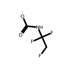 [O]C(=O)NC(F)(F)CF